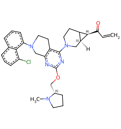 C=CC(=O)[C@@H]1C2CCN(c3nc(OC[C@@H]4CCCN4C)nc4c3CCN(c3cccc5cccc(Cl)c35)C4)C[C@@H]21